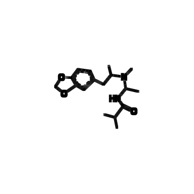 CC(C)C(=O)NC(C)N(C)C(C)Cc1ccc2c(c1)OCO2